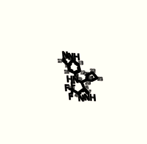 FC(F)(F)c1n[nH]cc1C(Nc1ccc2[nH]ncc2c1)C1=CCCC1